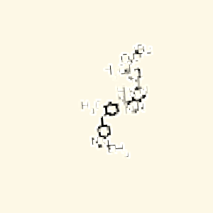 Cc1cc(Nc2ncnc3cnc(N4CCN(C(=O)OC(C)(C)C)[C@H](C)C4)nc23)ccc1Cc1ccc2c(c1)ncn2C